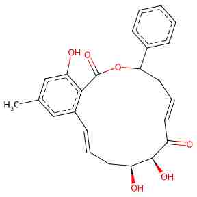 Cc1cc(O)c2c(c1)/C=C/C[C@H](O)[C@H](O)C(=O)/C=C/CC(c1ccccc1)OC2=O